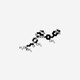 Cc1cc(Nc2ncnc3cnc(N4CCN(C(=O)/C=C/CN(C)C)C(C)C4)nc23)ccc1Cc1ccn2ncnc2c1